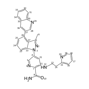 Cc1nn(-c2cnc(C(N)=O)c(NCCc3ccccn3)c2)c2cccc(-c3cnc4ccccc4c3)c12